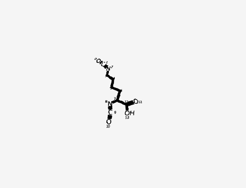 O=C=NCCCCC(N=C=O)C(=O)O